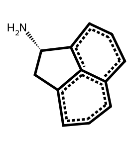 N[C@H]1Cc2cccc3cccc1c23